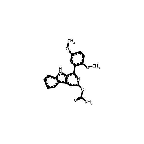 COc1ccc(OC)c(-c2nc(OC(N)=O)cc3c2[nH]c2ccccc23)c1